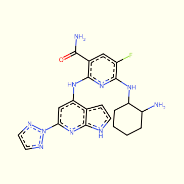 NC(=O)c1cc(F)c(NC2CCCCC2N)nc1Nc1cc(-n2nccn2)nc2[nH]ccc12